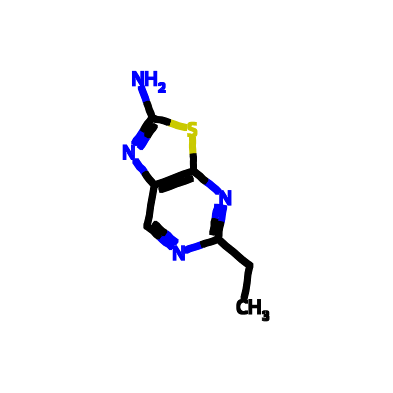 CCc1ncc2nc(N)sc2n1